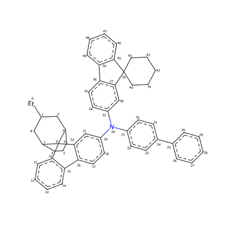 CCC1CC2CCCC(C1)C21c2ccccc2-c2ccc(N(c3ccc(-c4ccccc4)cc3)c3ccc4c(c3)C3(CCCCC3)c3ccccc3-4)cc21